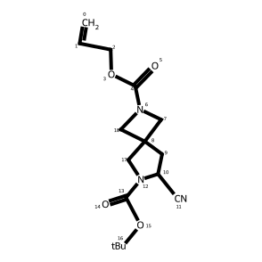 C=CCOC(=O)N1CC2(CC(C#N)N(C(=O)OC(C)(C)C)C2)C1